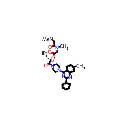 CNCC(=O)N(C)CC(=O)O[C@@H](CC(C)C)C(=O)N1CCN(c2nc(-c3ccccc3)nc3cc(C)ccc23)CC1